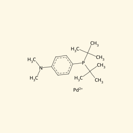 CN(C)c1ccc(P(C(C)(C)C)C(C)(C)C)cc1.[Pd+2]